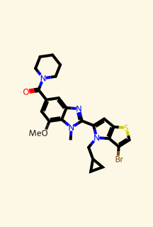 COc1cc(C(=O)N2CCCCC2)cc2nc(-c3cc4scc(Br)c4n3CC3CC3)n(C)c12